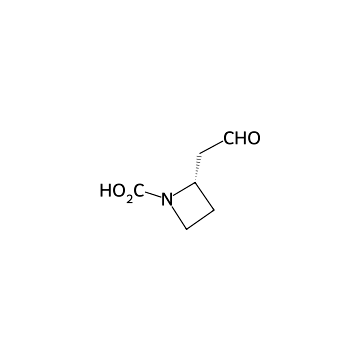 O=CC[C@@H]1CCN1C(=O)O